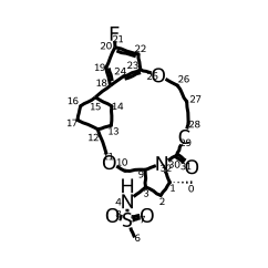 C[C@@H]1CC(NS(C)(=O)=O)C2COC3CCC(CC3)c3cc(F)cc(c3)OCCCCC(=O)N21